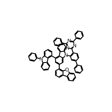 c1ccc(-c2ccc(-c3nc(-c4ccccc4)nc(-c4ccccc4)n3)c(-n3c4ccccc4c4c(-c5cccc6c5c5ccccc5n6-c5ccccc5)cc(-c5cccc6c5oc5ccccc56)cc43)c2)cc1